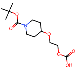 CC(C)(C)OC(=O)N1CCC(OCCOC(=O)O)CC1